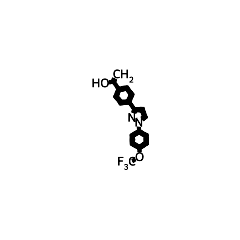 C=C(O)c1ccc(-c2ccn(-c3ccc(OC(F)(F)F)cc3)n2)cc1